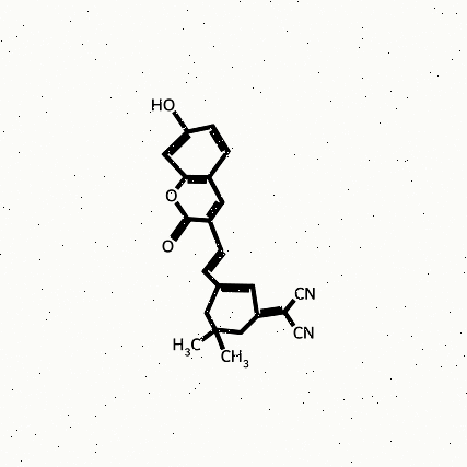 CC1(C)CC(C=Cc2cc3ccc(O)cc3oc2=O)=CC(=C(C#N)C#N)C1